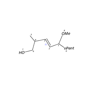 CCCCCC(/C=C/C(C)CO)OC